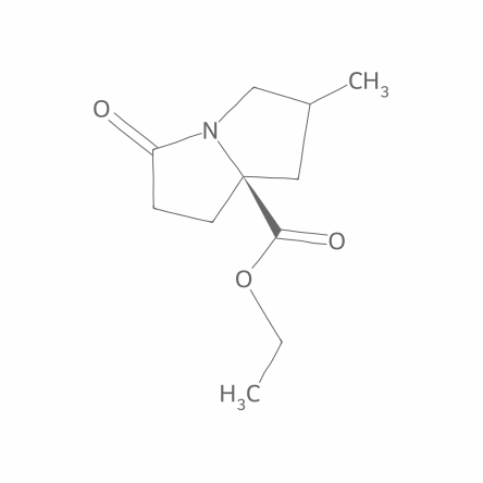 CCOC(=O)[C@@]12CCC(=O)N1CC(C)C2